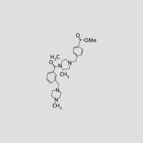 COC(=O)c1ccc(CN2C[C@@H](C)N(C(=O)c3cccc(CN4CCN(C)CC4)c3)[C@@H](C)C2)cc1